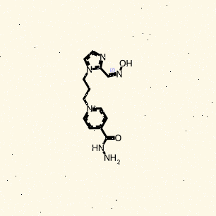 NNC(=O)c1cc[n+](CCCn2ccnc2/C=N\O)cc1